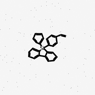 C=Cc1ccc([Si]2(c3ccccc3)c3ccccc3-c3ccccc32)cc1